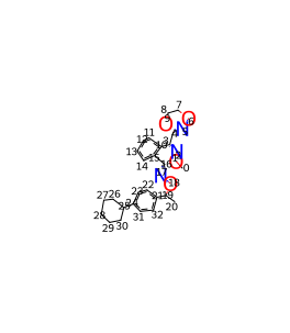 CON=C(C1=NOCCO1)c1ccccc1C=NOC(C)c1ccc(C2CCCCC2)cc1